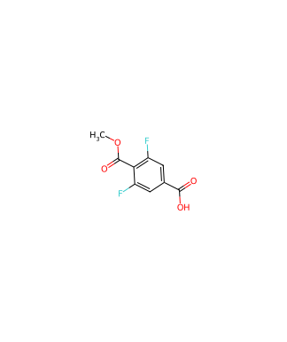 COC(=O)c1c(F)cc(C(=O)O)cc1F